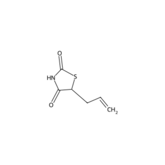 C=CCC1SC(=O)NC1=O